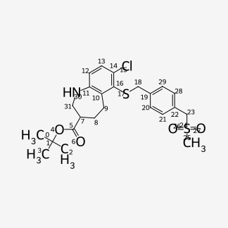 CC(C)(C)OC(=O)C1CCc2c(ccc(Cl)c2SCc2ccc(CS(C)(=O)=O)cc2)NC1